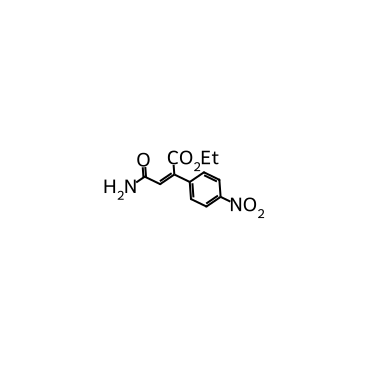 CCOC(=O)C(=CC(N)=O)c1ccc([N+](=O)[O-])cc1